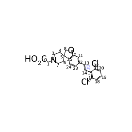 O=C(O)CN1CCC2(CC1)COc1cc(/C=C/c3c(Cl)cccc3Cl)ccc12